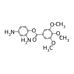 COc1cc(C(=O)Oc2ccc(N)cc2N)cc(OC)c1OC